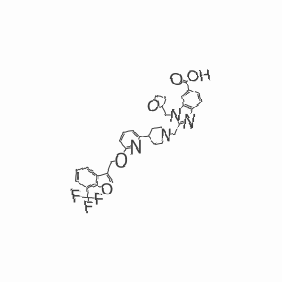 O=C(O)c1ccc2nc(CN3CCC(c4cccc(OCc5coc6c(C(F)(F)F)cccc56)n4)CC3)n(CC3CCO3)c2c1